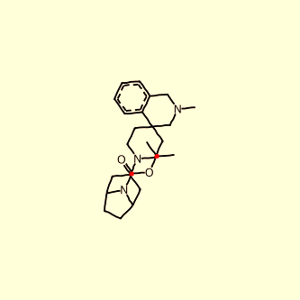 CC(C)OC(=O)N1C2CCC1CC(N1CCC3(CC1)CN(C)Cc1ccccc13)C2